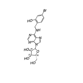 OC[C@H]1OC(n2cnc3c(NCc4ccc(Br)cc4O)ncnc32)[C@H](O)[C@@H]1O